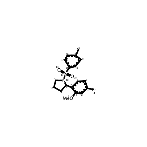 COc1cc(Br)ccc1C1CCCN1S(=O)(=O)c1ccc(C)cc1